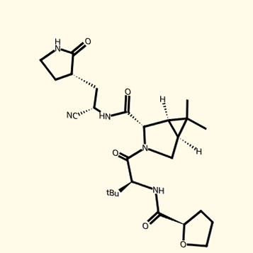 CC(C)(C)[C@H](NC(=O)[C@H]1CCCO1)C(=O)N1C[C@H]2[C@@H]([C@H]1C(=O)N[C@H](C#N)C[C@@H]1CCNC1=O)C2(C)C